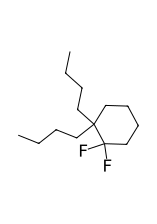 CCCCC1(CCCC)CCCCC1(F)F